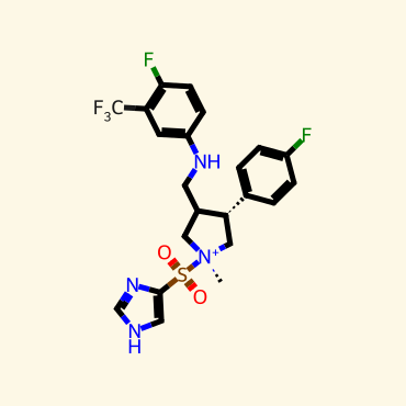 C[N@+]1(S(=O)(=O)c2c[nH]cn2)CC(CNc2ccc(F)c(C(F)(F)F)c2)[C@H](c2ccc(F)cc2)C1